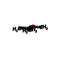 C=C.CCCCCCCCOc1ccc(OCCCCCCCC)cc1